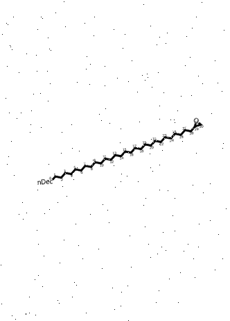 CCCCCCCCCCCCCCCCCCCCCCCCCCCCCCCCCCCCCCC1CO1